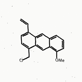 C=Cc1ccc(CCl)c2cc3c(OC)cccc3cc12